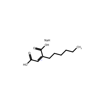 CCCCCC/C(=C/C(=O)O)C(=O)O.[NaH]